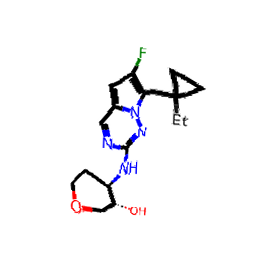 CCC1(c2c(F)cc3cnc(N[C@@H]4CCOC[C@H]4O)nn23)CC1